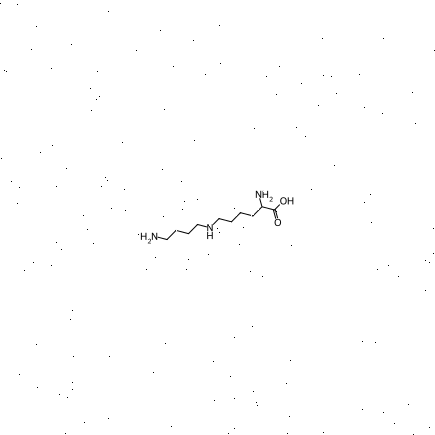 NCCCCNCCCCC(N)C(=O)O